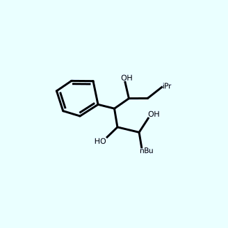 CCCCC(O)C(O)C(c1ccccc1)C(O)CC(C)C